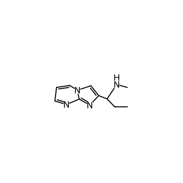 CCC(NC)c1cn2cccnc2n1